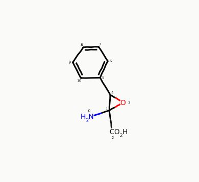 NC1(C(=O)O)OC1c1ccccc1